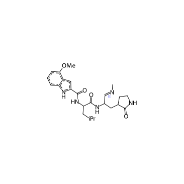 C/N=C/C(CC1CCNC1=O)NC(=O)C(CC(C)C)NC(=O)c1cc2c(OC)cccc2[nH]1